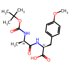 COc1ccc(C[C@H](NC(=O)[C@@H](C)NC(=O)OC(C)(C)C)C(=O)O)cc1